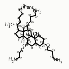 CCCCCOCCC[C@@H](C)C1CC[C@H]2C3[C@H](OCCCN)CC4C[C@H](OCCCN)CCC4(C)[C@H]3C[C@H](OCCCN)C12C